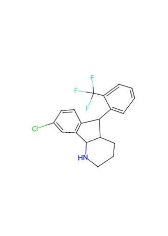 FC(F)(F)c1ccccc1C1c2ccc(Cl)cc2C2NCCCC21